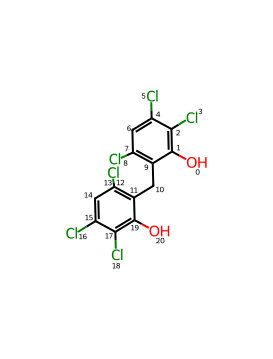 Oc1c(Cl)c(Cl)cc(Cl)c1Cc1c(Cl)cc(Cl)c(Cl)c1O